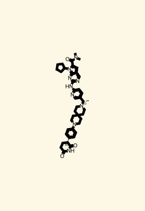 C[C@@H](c1ccc(Nc2ncc3cc(C(=O)N(C)C)n(C4CCCC4)c3n2)nc1)N1CCC2(CCN(c3ccc([C@H]4CCC(=O)NC4=O)cc3)CC2)CC1